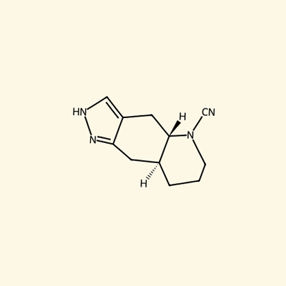 N#CN1CCC[C@H]2Cc3n[nH]cc3C[C@@H]21